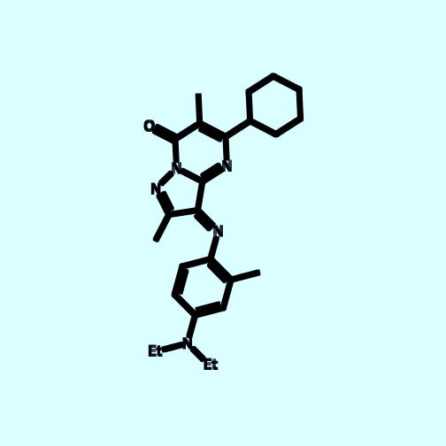 CCN(CC)c1ccc(N=C2C(C)=Nn3c2nc(C2CCCCC2)c(C)c3=O)c(C)c1